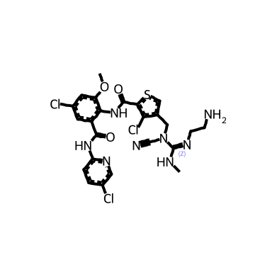 CN/C(=N/CCN)N(C#N)Cc1csc(C(=O)Nc2c(OC)cc(Cl)cc2C(=O)Nc2ccc(Cl)cn2)c1Cl